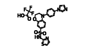 O=C(O)C(F)(F)F.O=S(=O)(Nc1nccs1)c1ccc2c(c1)OCCN2c1ccc(-n2ccnc2)cc1